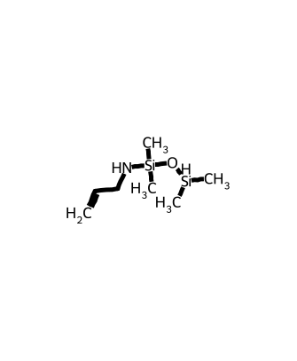 C=CCN[Si](C)(C)O[SiH](C)C